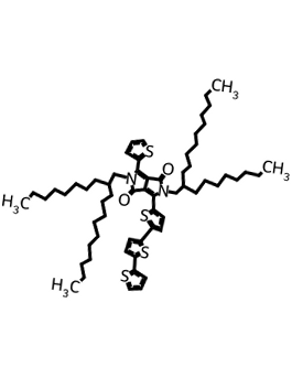 CCCCCCCCCCC(CCCCCCCC)CN1C(=O)C2=C(c3ccc(-c4ccc(-c5cccs5)s4)s3)N(CC(CCCCCCCC)CCCCCCCCCC)C(=O)C2=C1c1cccs1